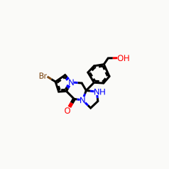 O=C1c2cc(Br)cn2CC2(c3ccc(CO)cc3)NCCN12